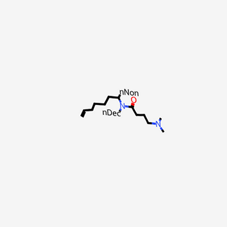 C=CCCCCC(CCCCCCCCC)N(CCCCCCCCCC)C(=O)CCCN(C)C